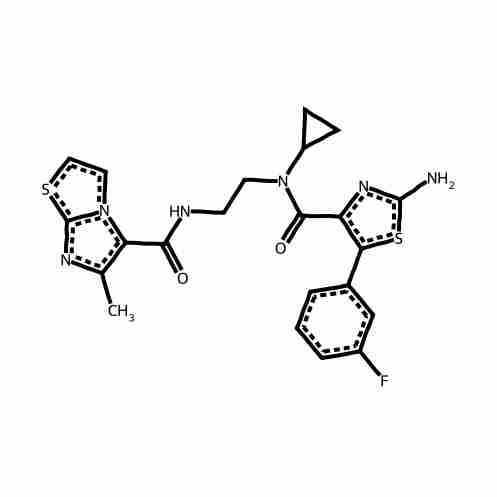 Cc1nc2sccn2c1C(=O)NCCN(C(=O)c1nc(N)sc1-c1cccc(F)c1)C1CC1